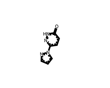 O=c1ccc(-n2cccn2)n[nH]1